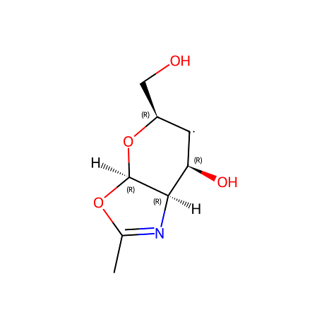 CC1=N[C@H]2[C@@H](O1)O[C@@H](CO)[CH][C@H]2O